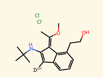 COC(C)=C1C(NC(C)(C)C)=[C]([Zr+2])c2cccc(CCO)c21.[Cl-].[Cl-]